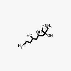 CCCC(O)CC(O)CC(O)(CC)CO